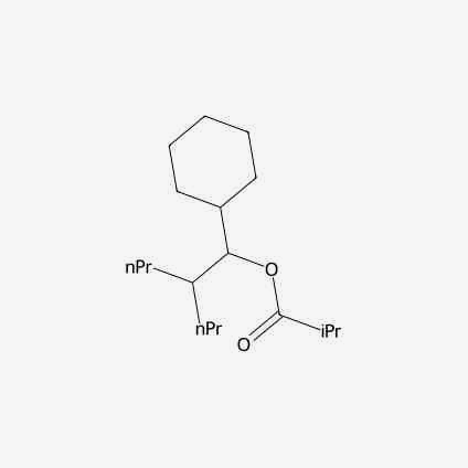 CCCC(CCC)C(OC(=O)C(C)C)C1CCCCC1